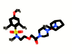 CCN1C2CCC1CC(N1CCN(C(=O)COCCN(C)S(=O)(=O)c3c(C)cc(OC)cc3C)CC1)C2